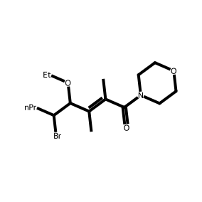 CCCC(Br)C(OCC)/C(C)=C(\C)C(=O)N1CCOCC1